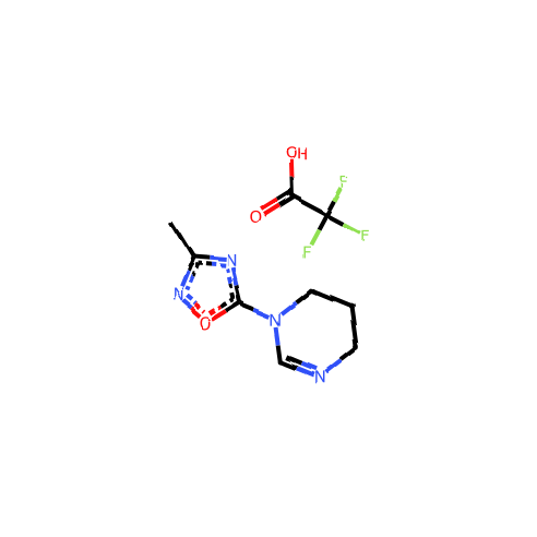 Cc1noc(N2C=NCCC2)n1.O=C(O)C(F)(F)F